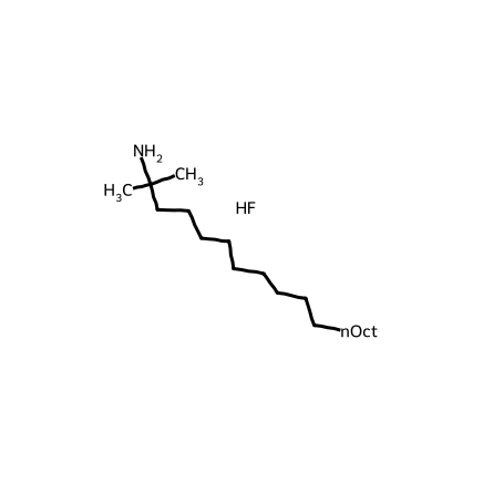 CCCCCCCCCCCCCCCCCC(C)(C)N.F